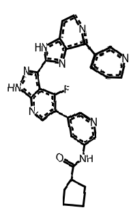 O=C(Nc1cncc(-c2cnc3[nH]nc(-c4nc5c(-c6cccnc6)nccc5[nH]4)c3c2F)c1)C1CCCC1